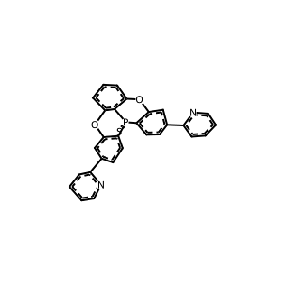 S=P12c3ccc(-c4ccccn4)cc3Oc3cccc(c31)Oc1cc(-c3ccccn3)ccc12